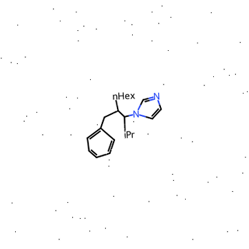 CCCCCCC(Cc1ccccc1)C(C(C)C)n1ccnc1